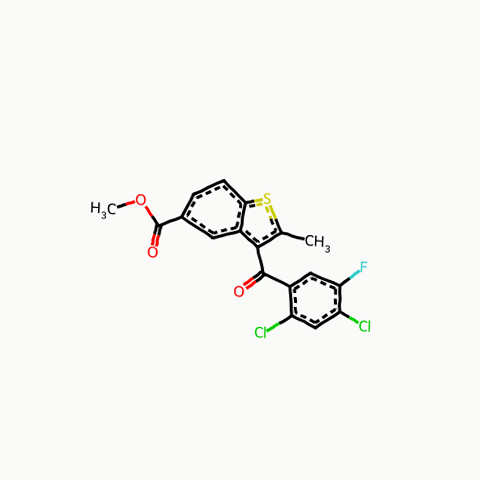 COC(=O)c1ccc2sc(C)c(C(=O)c3cc(F)c(Cl)cc3Cl)c2c1